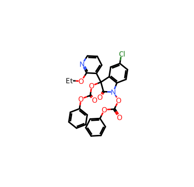 CCOc1ncccc1C1(OC(=O)Oc2ccccc2)C(=O)N(OC(=O)Oc2ccccc2)c2ccc(Cl)cc21